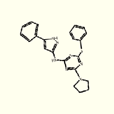 c1ccc(Sc2nc(Nc3cc(-c4ccccc4)[nH]n3)nc(N3CCCC3)n2)cc1